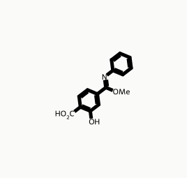 CO/C(=N\c1ccccc1)c1ccc(C(=O)O)c(O)c1